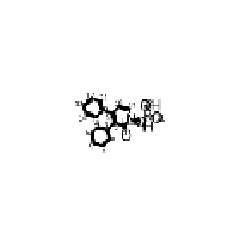 O=c1c(-c2ccccc2)c(-c2ccccc2)ccn1O[PH](=O)O